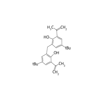 C=C(C)c1cc(C(C)(C)C)cc(Cc2cc(C(C)(C)C)cc(C(=C)C)c2O)c1O